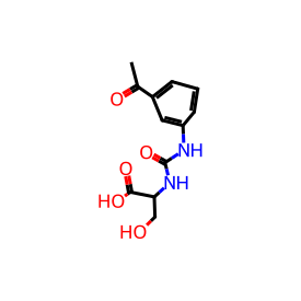 CC(=O)c1cccc(NC(=O)NC(CO)C(=O)O)c1